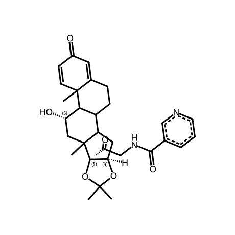 CC1(C)O[C@@H]2CC3C4CCC5=CC(=O)C=CC5(C)C4[C@@H](O)CC3(C)[C@]2(C(=O)CNC(=O)c2cccnc2)O1